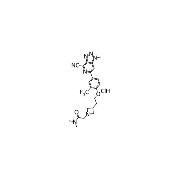 CN(C)C(=O)CN1CC(CCOc2ccc(-c3cc4c(nnn4C)c(C#N)n3)cc2C(F)(F)F)C1.Cl